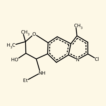 CCNC1c2cc3nc(Cl)cc(C)c3cc2OC(C)(C)C1O